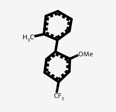 COc1cc(C(F)(F)F)ccc1-c1ccccc1C